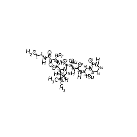 C=CCNC(=O)C(=O)C(CCC)NC(=O)[C@@H]1[C@@H]2[C@H](CN1C(=O)[C@@H](NC(=O)N[C@H](CN1CCCNC1=O)C(C)(C)C)C(C)(C)C)C2(C)C